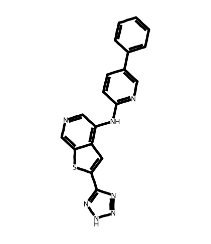 c1ccc(-c2ccc(Nc3cncc4sc(-c5nn[nH]n5)cc34)nc2)cc1